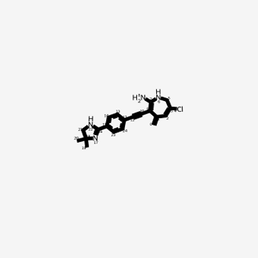 C=C1C=C(Cl)CNC(N)=C1C#Cc1ccc(C2=NC(C)(C)CN2)cc1